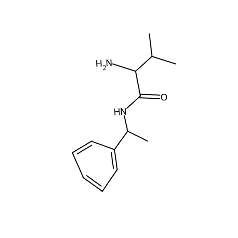 CC(NC(=O)C(N)C(C)C)c1ccccc1